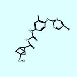 COC12CC(C1)C(C(=O)NC(=O)Nc1ccc(Oc3ncc(F)cn3)c(C)c1)C2